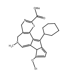 CCOC1=CC=C2C(C3CCCCC3)=C3C(=CN(C)CC4=C3SC(C(=O)OC)=NC4)C12